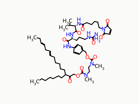 CCC=CCC=CCCCCCC(CCCCCCC)C(=O)COC(=O)N(C)CCN(C)C(=O)OCc1ccc(NC(=O)[C@H](CCCNC(N)=O)NC(=O)[C@@H](NC(=O)CCCCCN2C(=O)C=CC2=O)C(C)C)cc1